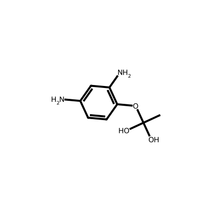 CC(O)(O)Oc1ccc(N)cc1N